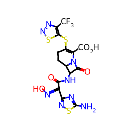 Nc1nc(/C(=N/O)C(=O)NC2C(=O)N3C(C(=O)O)=C(Sc4snnc4C(F)(F)F)CCC23)ns1